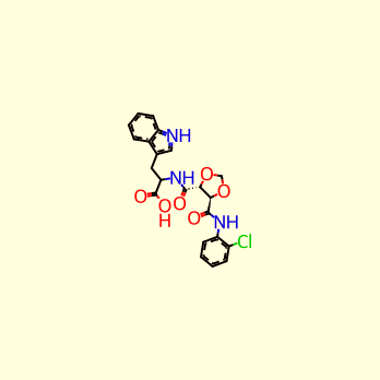 O=C(O)C(Cc1c[nH]c2ccccc12)NC(=O)[C@@H]1OCO[C@H]1C(=O)Nc1ccccc1Cl